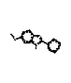 CSc1ccc2nc(-c3ccccc3)[nH]c2c1